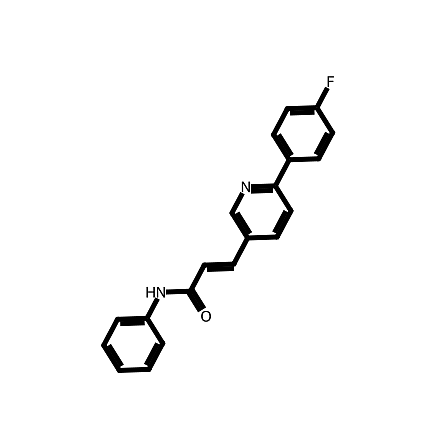 O=C(/C=C/c1ccc(-c2ccc(F)cc2)nc1)Nc1ccccc1